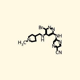 CN1CCC(CNc2cc(Nc3cnc(C#N)cn3)nnc2Br)CC1